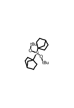 CC(C)(C)O[Si](OC(C)(C)C)(C12CCC(CC1)C2)C12CCC(CC1)C2